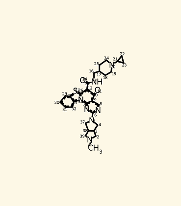 CN1CC2CN(c3ncc4c(=O)c(C(=O)NCC5CCN(C6CC6)CC5)c5sc6ccccc6n5c4n3)CC2C1